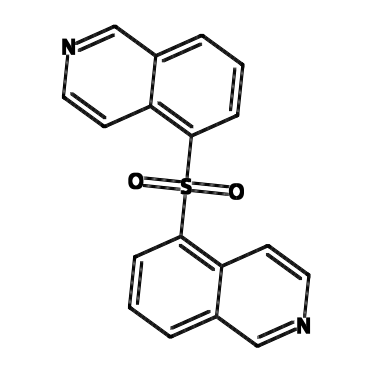 O=S(=O)(c1cccc2cnccc12)c1cccc2cnccc12